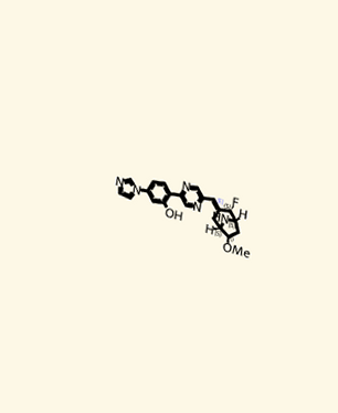 CO[C@@H]1C[C@@H]2N[C@H]1C/C(=C\c1cnc(-c3ccc(-n4ccnc4)cc3O)cn1)[C@@H]2F